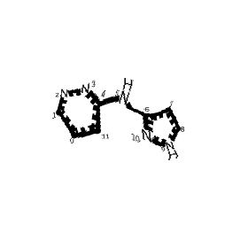 c1cnnc(Nc2cc[nH]n2)c1